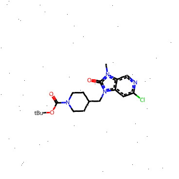 Cn1c(=O)n(CC2CCN(C(=O)OC(C)(C)C)CC2)c2cc(Cl)ncc21